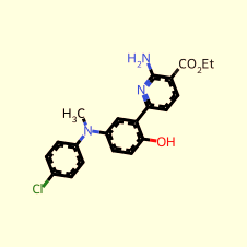 CCOC(=O)c1ccc(-c2cc(N(C)c3ccc(Cl)cc3)ccc2O)nc1N